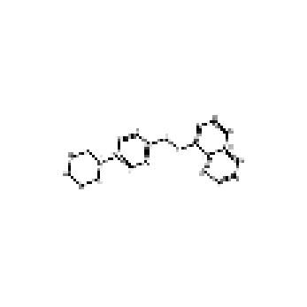 c1cnc2c(OCc3ccc(N4CCCCC4)cc3)cccc2c1